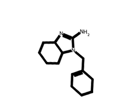 NC1=NC2CCCCC2N1CC1=CCCCC1